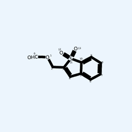 O=COCC1=Cc2ccccc2S1(=O)=O